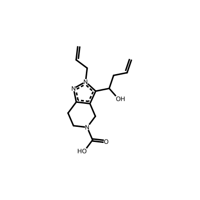 C=CCC(O)c1c2c(nn1CC=C)CCN(C(=O)O)C2